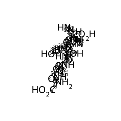 C[C@H](NC(=O)[C@@H](N)CCC(=O)O)C(=O)N1CCC[C@H]1C(=O)NCC(=O)N[C@H](C(=O)N[C@@H](Cc1ccc(O)cc1)C(=O)N[C@@H](Cc1c[nH]cn1)C(=O)N[C@@H](Cc1c[nH]cn1)C(=O)O)[C@@H](C)O